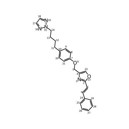 C(=Cc1nc(COc2ccc(CCCCn3nccn3)cc2)co1)c1ccccc1